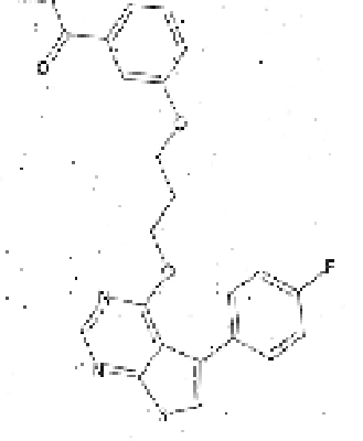 CNC(=O)c1cccc(OCCCOc2ncnc3scc(-c4ccc(F)cc4)c23)c1